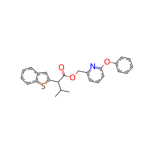 CC(C)C(C(=O)OCc1cccc(Oc2ccccc2)n1)c1cc2ccccc2s1